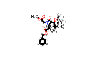 COC(=O)CN1C(=O)[C@H]([C@@](C)(O[SiH](C)C)C(C)(C)C)[C@H]1[C@H](C)C(=O)OCc1ccccc1